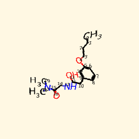 CCCCOc1cccc(CC(O)NCC(=O)N(C)C)c1